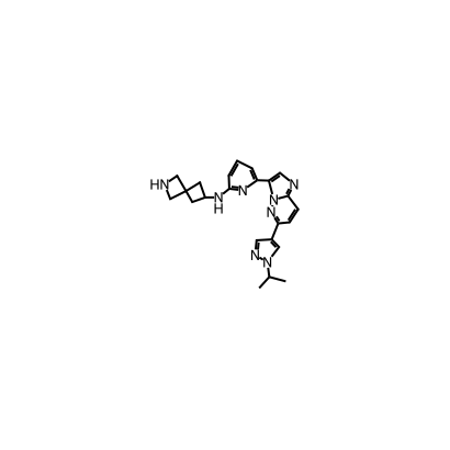 CC(C)n1cc(-c2ccc3ncc(-c4cccc(NC5CC6(CNC6)C5)n4)n3n2)cn1